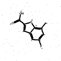 Cc1cc(F)cc2cc(C(=O)O)oc12